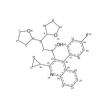 OC(CC(C1CCCO1)C1CCCO1)c1c(C2CC2)nc2ccccc2c1-c1ccc(F)cc1